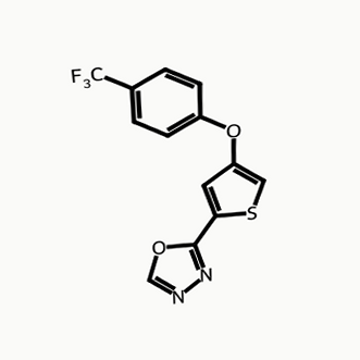 FC(F)(F)c1ccc(Oc2csc(-c3nnco3)c2)cc1